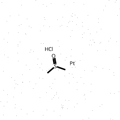 CS(C)=O.Cl.[Pt]